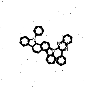 C1=CC2c3ccccc3N(c3ccccc3)C2c2ccc3c(c21)c1ccccc1n3-c1nc2ccccc2nc1-c1ccccc1